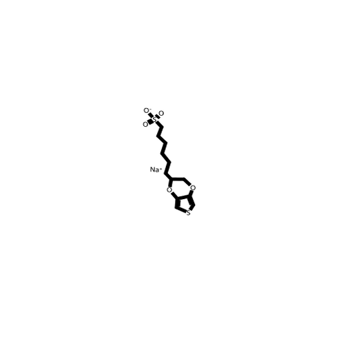 O=S(=O)([O-])CCCCCCC1COc2cscc2O1.[Na+]